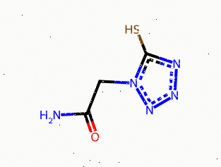 NC(=O)Cn1nnnc1S